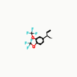 [CH2]C(C=C)c1ccc(OC(F)(F)F)c(OC(F)(F)F)c1